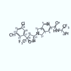 CC(C)C(NC(=O)c1cc2c(cn1)CN(C1=NOC(c3cc(Cl)cc(Cl)c3)(C(F)(F)F)C1)C2)C(F)(F)F